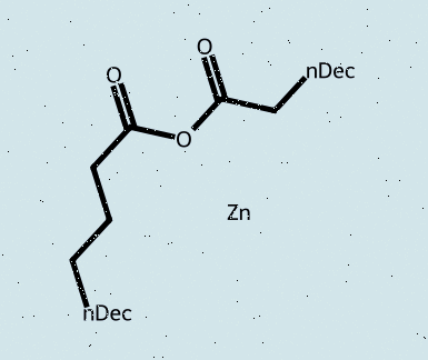 CCCCCCCCCCCCCC(=O)OC(=O)CCCCCCCCCCC.[Zn]